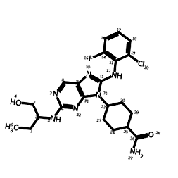 CCC(CO)Nc1ncc2nc(Nc3c(F)cccc3Cl)n(C3CCC(C(N)=O)CC3)c2n1